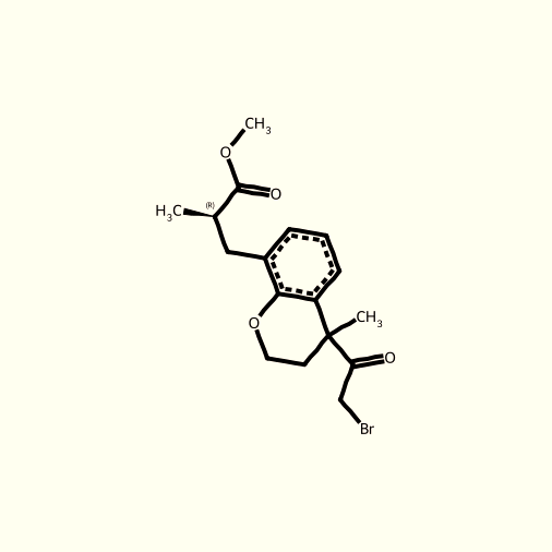 COC(=O)[C@H](C)Cc1cccc2c1OCCC2(C)C(=O)CBr